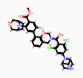 COC(=O)c1cc(F)c(-c2cccc3c2OCN(C(=O)c2c(Cl)cc(N4C5CNCC4C5)cc2Cl)C3)cc1N1C2CCC1COC2